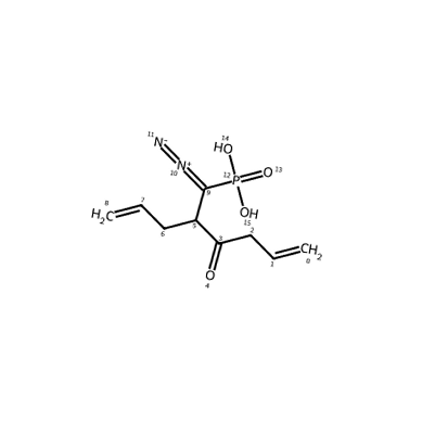 C=CCC(=O)C(CC=C)C(=[N+]=[N-])P(=O)(O)O